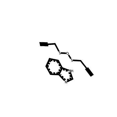 C#CCSOSCC#C.c1ccc2[nH]cnc2c1